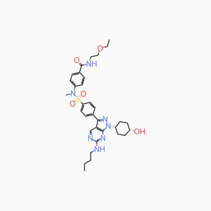 CCCCNc1ncc2c(-c3ccc(S(=O)(=O)N(C)c4ccc(C(=O)NCCOCC)cc4)cc3)nn([C@H]3CC[C@@H](O)CC3)c2n1